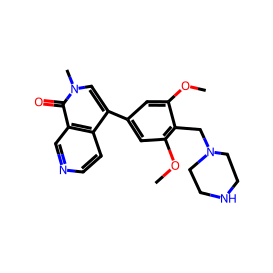 COc1cc(-c2cn(C)c(=O)c3cnccc23)cc(OC)c1CN1CCNCC1